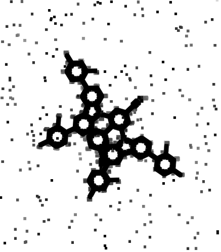 Cc1ccc(-c2ccc3c(c2)c2cc(-c4ccc(C)cc4C)ccc2n3-c2cc(C#N)cc(-n3c4ccc(-c5ccc(C)cc5C)cc4c4cc(-c5ccc(C)cc5C)ccc43)c2-c2cccc(C#N)c2)c(C)c1